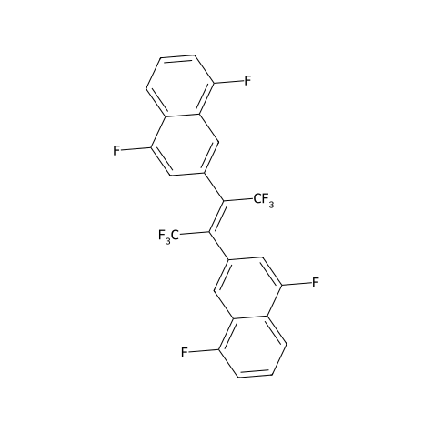 Fc1cc(/C(=C(/c2cc(F)c3cccc(F)c3c2)C(F)(F)F)C(F)(F)F)cc2c(F)cccc12